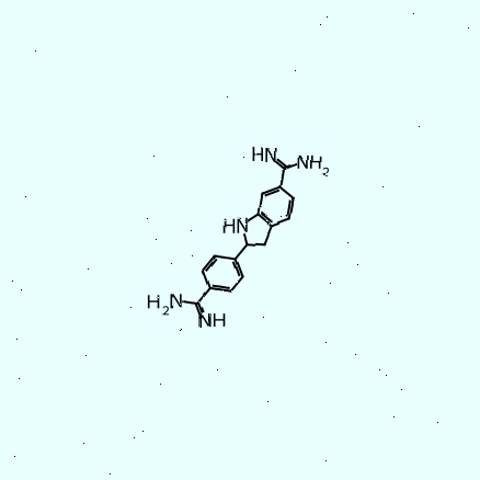 N=C(N)c1ccc(C2Cc3ccc(C(=N)N)cc3N2)cc1